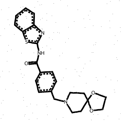 O=C(Nc1nc2ccccc2s1)c1ccc(CN2CCC3(CC2)OCCO3)cc1